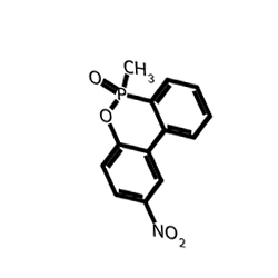 CP1(=O)Oc2ccc([N+](=O)[O-])cc2-c2ccccc21